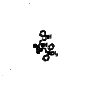 C[Si](CCC(=O)NC(Cc1c[nH]c2ccccc12)C(=O)O)(c1ccccc1)c1ccccc1